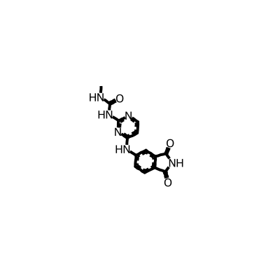 CNC(=O)Nc1nccc(Nc2ccc3c(c2)C(=O)NC3=O)n1